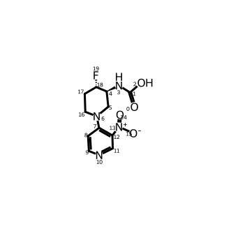 O=C(O)N[C@H]1CN(c2ccncc2[N+](=O)[O-])CC[C@@H]1F